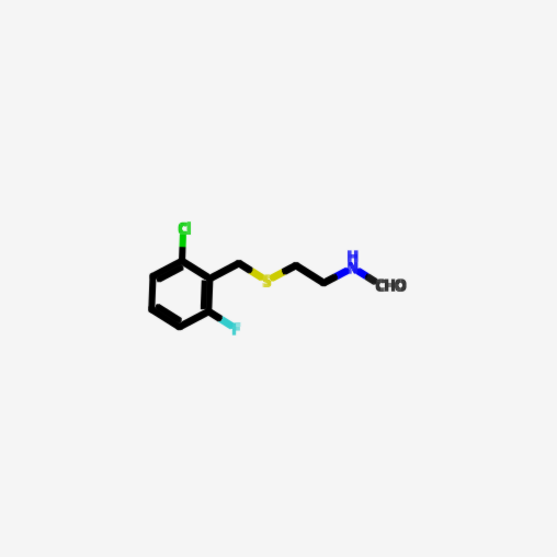 O=CNCCSCc1c(F)cccc1Cl